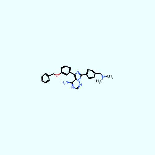 CN(C)Cc1ccc(-c2nc(-c3cccc(OCc4ccccc4)c3)c3c(N)ncnn23)cc1